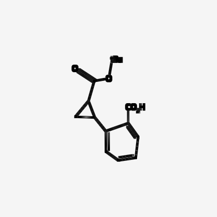 CC(C)(C)OC(=O)C1CC1c1ccccc1C(=O)O